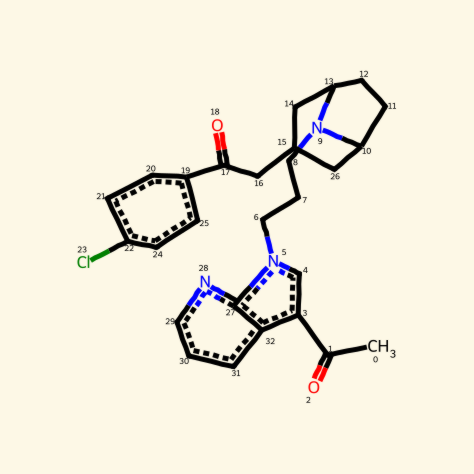 CC(=O)c1cn(CCCN2C3CCC2CC(CC(=O)c2ccc(Cl)cc2)C3)c2ncccc12